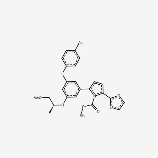 COC[C@H](C)Oc1cc(Oc2ccc(C(C)=O)cc2)cc(-c2ccc(-c3nccs3)n2C(=O)OC(C)(C)C)c1